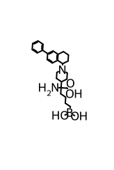 NC(CCCCB(O)O)(C(=O)O)C1CCN(C2CCCc3cc(-c4ccccc4)ccc32)CC1